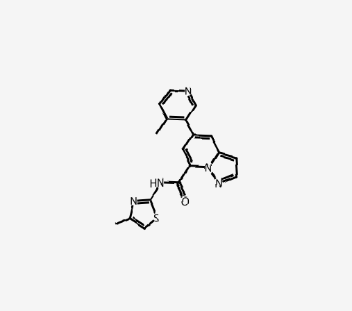 Cc1csc(NC(=O)c2cc(-c3cnccc3C)cc3ccnn23)n1